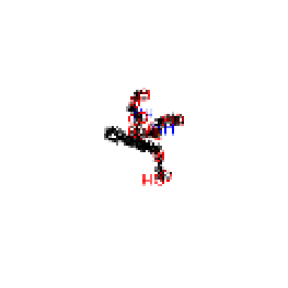 COCC(C)(C)COCC(C)(C)CNS(=O)(=O)CCCOC1c2cc(C(C)(C)C3CCCCCCC3)ccc2-c2ccc(C(C)(C)C3C=CC(OCCCCCC(=O)O)=C3)cc2C1OCCCS(=O)(=O)NCC(C)(C)COCC(C)(C)OC